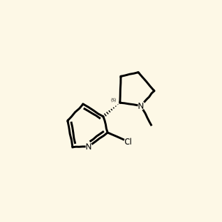 CN1CCC[C@H]1c1cccnc1Cl